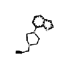 C#CCN1CCN(c2cccc3ccoc23)CC1